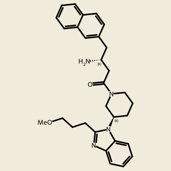 COCCCc1nc2ccccc2n1[C@@H]1CCCN(C(=O)C[C@H](N)Cc2ccc3ccccc3c2)C1